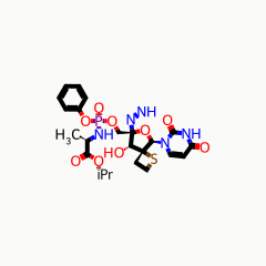 CC(C)OC(=O)[C@H](C)NP(=O)(OC[C@@]1(N=N)O[C@@H](n2ccc(=O)[nH]c2=O)[C@@]2(CCS2)[C@@H]1O)Oc1ccccc1